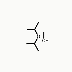 CC(C)OC(C)C.CO